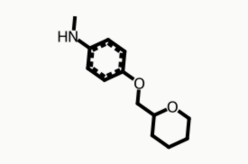 CNc1ccc(OCC2CCCCO2)cc1